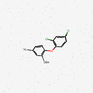 COc1cc(C#N)ccc1Oc1ccc(Cl)cc1Cl